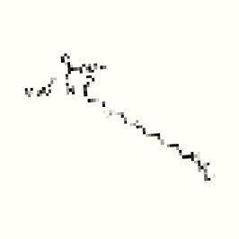 COC[C@H](NC(=O)CCOCCOCCOCCN=[N+]=[N-])C(=O)OC